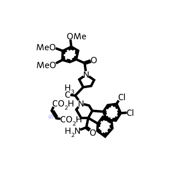 COc1cc(C(=O)N2CCC(C(C)N3CCC(C(N)=O)(c4ccccc4)C(c4ccc(Cl)c(Cl)c4)C3)C2)cc(OC)c1OC.O=C(O)/C=C\C(=O)O